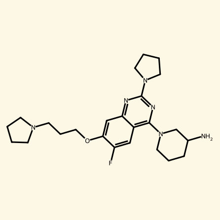 NC1CCCN(c2nc(N3CCCC3)nc3cc(OCCCN4CCCC4)c(F)cc23)C1